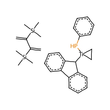 C=C(C(=C)[Si](C)(C)C)[Si](C)(C)C.c1ccc([PH][Ti]2([CH]3c4ccccc4-c4ccccc43)[CH2][CH2]2)cc1